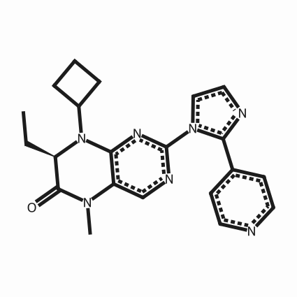 CC[C@@H]1C(=O)N(C)c2cnc(-n3ccnc3-c3ccncc3)nc2N1C1CCC1